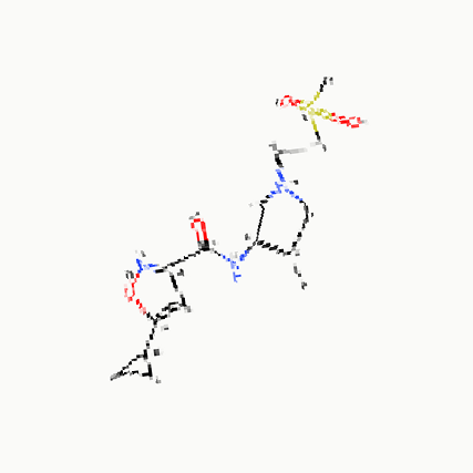 C[C@H]1CN(CCS(C)(=O)=O)C[C@@H]1NC(=O)c1cc(C2CC2)on1